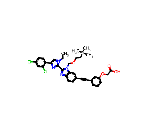 CCn1cc(-c2ccc(Cl)cc2Cl)nc1-c1nc2ccc(C#Cc3cccc(OCC(=O)O)c3)cc2n1COCC[Si](C)(C)C